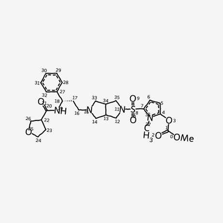 COC(=O)Oc1ccc(S(=O)(=O)N2CC3CN(CC[C@H](NC(=O)C4CCOC4)c4ccccc4)CC3C2)n1C